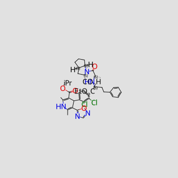 CC1=C(C(=O)OC(C)C)C(c2cccc(Cl)c2Cl)C(c2ncno2)=C(C)N1.CCOC(=O)[C@H](CCc1ccccc1)N[C@@H](C)C(=O)N1[C@H](C(=O)O)C[C@@H]2CCC[C@@H]21